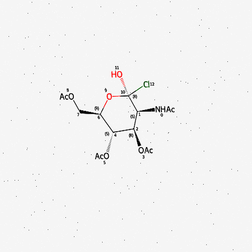 CC(=O)N[C@H]1[C@@H](OC(C)=O)[C@H](OC(C)=O)[C@@H](COC(C)=O)O[C@@]1(O)Cl